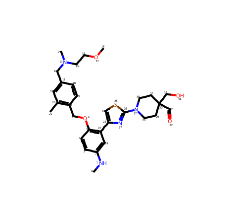 CNc1ccc(OCc2ccc(CN(C)CCOC)cc2C)c(-c2csc(N3CCC(C=O)(CO)CC3)n2)c1